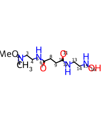 CON(C)CCNC(=O)CCC(=O)NCCNO